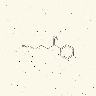 C=C(CCCC(=O)O)c1ccccc1